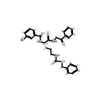 O=C(NCCC[C@H](NC(=O)c1cccc(Br)c1)C(=O)NCC(=O)c1ccccc1)OCc1ccccc1